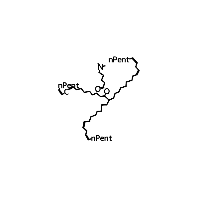 CCCCC/C=C\C/C=C\CCCCCCCCC(CCCCCCC/C=C\C/C=C\CCCCC)C(CCCCCCC/C=C\C/C=C\CCCCC)OC(=O)CCCCN(C)C